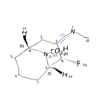 C/N=C1/C[C@H]2CCC[C@@H]([C@H]1F)N2C(=O)O